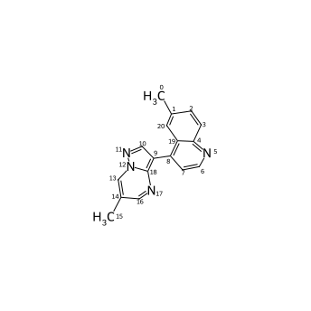 Cc1ccc2nccc(-c3cnn4cc(C)cnc34)c2c1